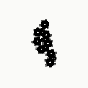 c1ccc(-n2c3ccccc3c3c2ccc2c4ccc5c(c6ccccc6n5-c5ccc6oc7ccccc7c6c5)c4n(-c4ncccn4)c23)cc1